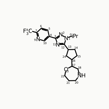 CC(C)n1nc(-c2ccc(C(F)(F)F)nc2)nc1C1CCC(C2CNCCCO2)C1